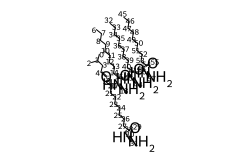 CC(C)CC=O.CCCCCCCCCC(=O)NN.CCCCCCCCCC(=O)NN.CCCCCCCCCC(=O)NN.CCCCCCCCCC(=O)NN